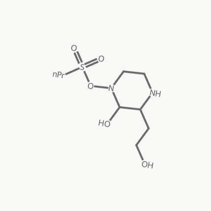 CCCS(=O)(=O)ON1CCNC(CCO)C1O